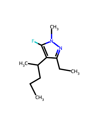 CCCC(C)c1c(CC)nn(C)c1F